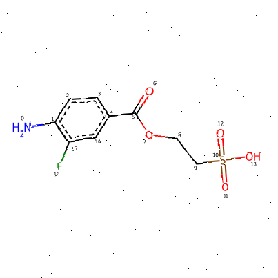 Nc1ccc(C(=O)OCCS(=O)(=O)O)cc1F